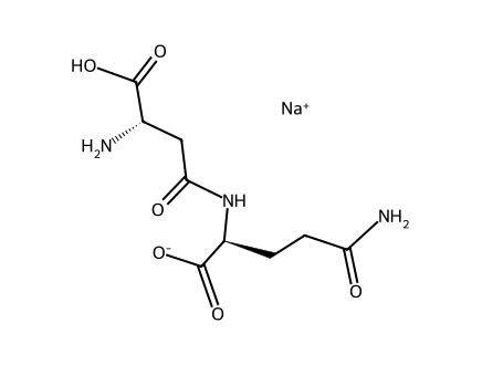 NC(=O)CC[C@H](NC(=O)C[C@H](N)C(=O)O)C(=O)[O-].[Na+]